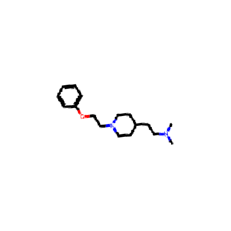 CN(C)CCC1CCN(CCOc2ccccc2)CC1